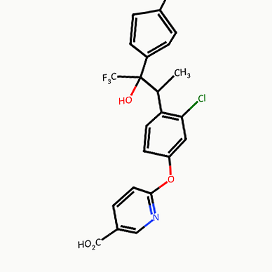 CC(c1ccc(Oc2ccc(C(=O)O)cn2)cc1Cl)C(O)(c1ccc(C#N)cc1)C(F)(F)F